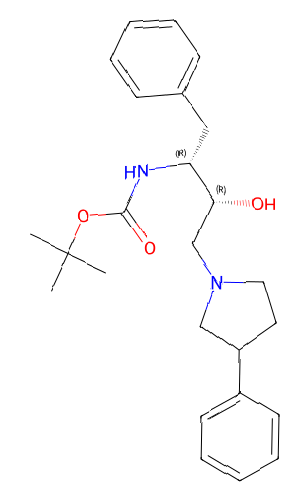 CC(C)(C)OC(=O)N[C@H](Cc1ccccc1)[C@H](O)CN1CCC(c2ccccc2)C1